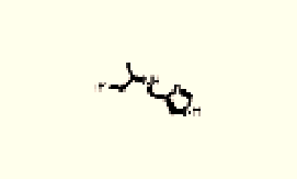 CC(C)CC(C)NCc1c[nH]cn1